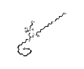 CCCCC/C=C\C/C=C\C/C=C\C/C=C\CCCCO[C@H](COC(=O)CCCCCCCCCCCCCCC(C)C)COP(=O)(O)NCCO